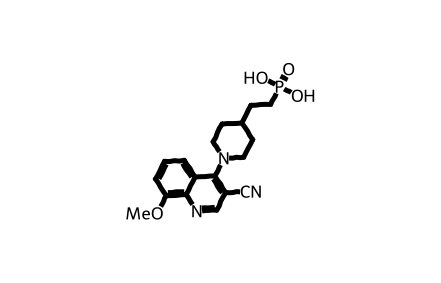 COc1cccc2c(N3CCC(CCP(=O)(O)O)CC3)c(C#N)cnc12